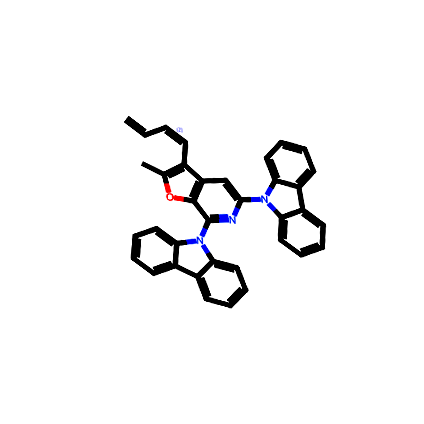 C=C/C=C\c1c(C)oc2c(-n3c4ccccc4c4ccccc43)nc(-n3c4ccccc4c4ccccc43)cc12